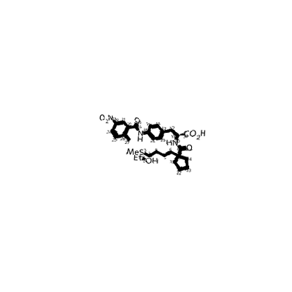 CCO.CSCCCCC1(C(=O)N[C@@H](Cc2ccc(NC(=O)c3cc([N+](=O)[O-])ccc3C)cc2)C(=O)O)CCCC1